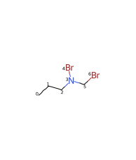 CCCN(Br)CBr